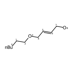 CCCCCCOCC=CC[O]